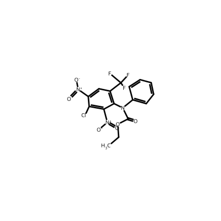 CCOC(=O)N(c1ccccc1)c1c(C(F)(F)F)cc([N+](=O)[O-])c(Cl)c1[N+](=O)[O-]